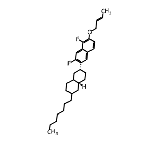 C/C=C/COc1ccc2cc([C@@H]3CC[C@@H]4CC(CCCCCCC)CCC4C3)c(F)cc2c1F